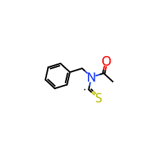 CC(=O)N([C]=S)Cc1ccccc1